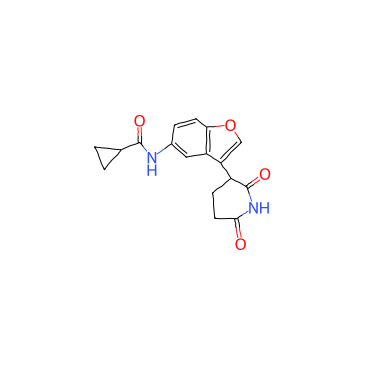 O=C1CCC(c2coc3ccc(NC(=O)C4CC4)cc23)C(=O)N1